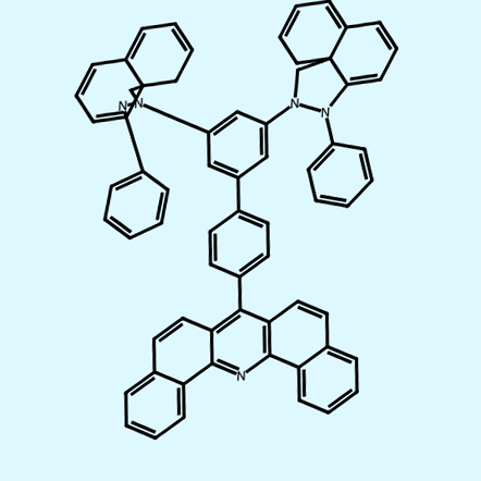 C1=CCC23CN(c4cc(-c5ccc(-c6c7ccc8ccccc8c7nc7c6ccc6ccccc67)cc5)cc(N5CC67CC=CC=C6C=CC=C7N5c5ccccc5)c4)N(c4ccccc4)C2=CC=CC3=C1